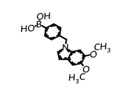 COc1cc2ccn(Cc3ccc(B(O)O)cc3)c2cc1OC